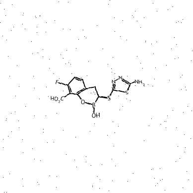 Nc1nnc(SC2Cc3ccc(F)c(C(=O)O)c3OB2O)s1